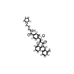 O.O=C(NCCCN1CCCC1)c1ccc(/C=C2\Oc3ccccc3N(Cc3ccccc3F)C2=O)cc1